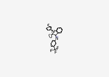 O=C1/C(=N\c2cccc(C(F)(F)F)c2)c2ccccc2N1c1ccsc1